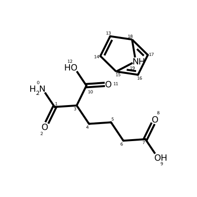 NC(=O)C(CCCC(=O)O)C(=O)O.c1cc2ccc1[nH]2